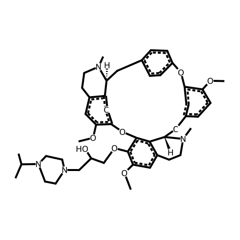 COc1ccc2cc1Oc1ccc(cc1)C[C@H]1c3cc(c(OC)cc3CCN1C)Oc1c(OCC(O)CN3CCN(C(C)C)CC3)c(OC)cc3c1[C@H](C2)N(C)CC3